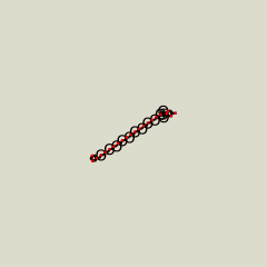 Cc1ccc(S(=O)(=O)OCCOCCOCCOCCOCCOCCOCCOCCOCCCOCc2ccccc2)cc1